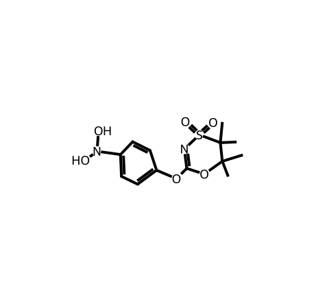 CC1(C)OC(Oc2ccc(N(O)O)cc2)=NS(=O)(=O)C1(C)C